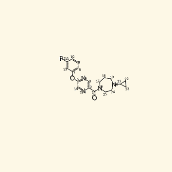 O=C(c1cnc(Oc2cccc(F)c2)cn1)N1CCCN(C2CC2)CC1